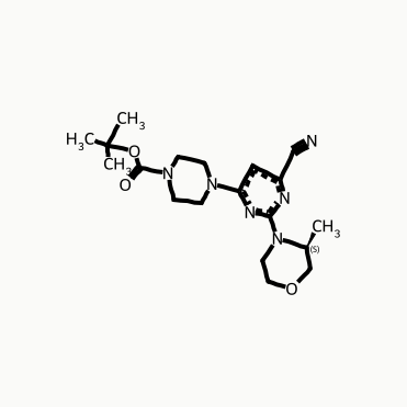 C[C@H]1COCCN1c1nc(C#N)cc(N2CCN(C(=O)OC(C)(C)C)CC2)n1